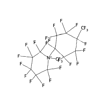 FC(F)(F)C1(F)C(F)(F)C(F)(F)C(F)([N+]2(C(F)(F)F)C(F)(F)C(F)(F)C(F)(F)C(F)(F)C2(F)F)C(F)(F)C1(F)F